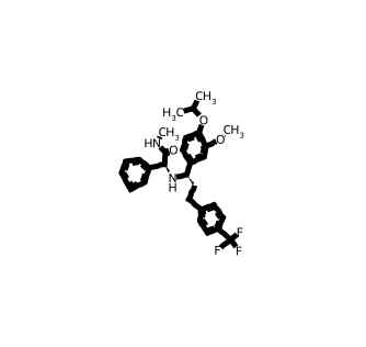 CNC(=O)[C@H](N[C@@H](CCc1ccc(C(F)(F)F)cc1)c1ccc(OC(C)C)c(OC)c1)c1ccccc1